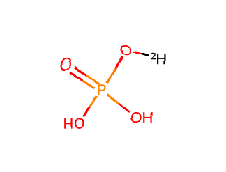 [2H]OP(=O)(O)O